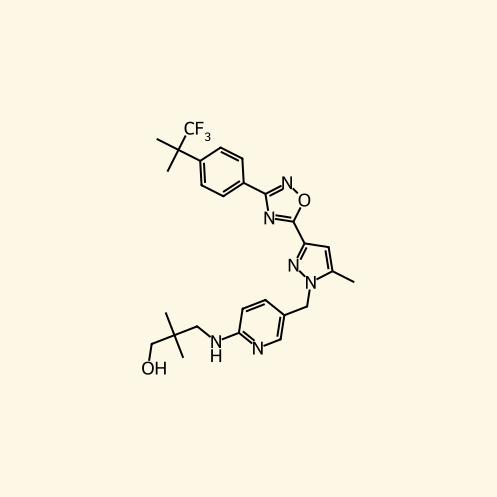 Cc1cc(-c2nc(-c3ccc(C(C)(C)C(F)(F)F)cc3)no2)nn1Cc1ccc(NCC(C)(C)CO)nc1